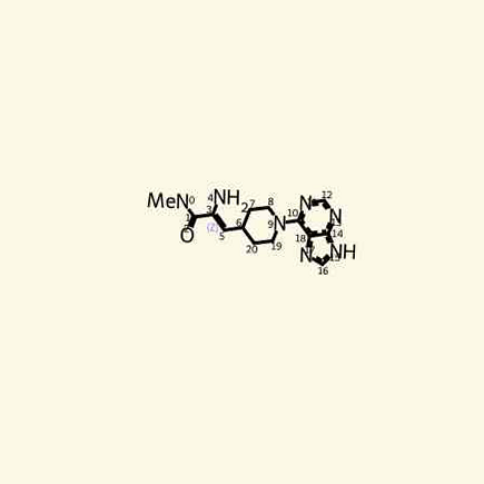 CNC(=O)/C(N)=C/C1CCN(c2ncnc3[nH]cnc23)CC1